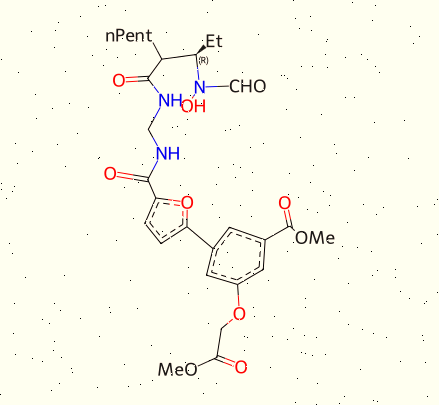 CCCCCC(C(=O)NCNC(=O)c1ccc(-c2cc(OCC(=O)OC)cc(C(=O)OC)c2)o1)[C@@H](CC)N(O)C=O